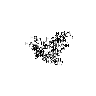 CC(C)C[C@H](NC(=O)[C@H](CO)NC(=O)[C@H](CS(=S)C(C)(C)C)NC(=O)[C@H](Cc1c[nH]cn1)NC(=O)[C@H](CCC(=O)O)NC(=O)[C@H](C)NC(=O)[C@@H](N)CS(=S)C(C)(C)C)C(=O)NC(CC(N)=O)C(=O)N[C@@H](CCC(=O)O)C(N)=O